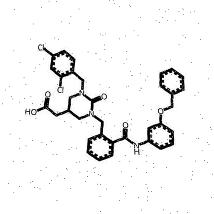 O=C(O)CC1CN(Cc2ccc(Cl)cc2Cl)C(=O)N(Cc2ccccc2C(=O)Nc2cccc(OCc3ccccc3)c2)C1